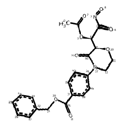 CC(=O)O[C@@H](C(=O)N=O)[C@H]1OCCN(c2ccc(C(=O)OCc3ccccc3)cc2)C1=O